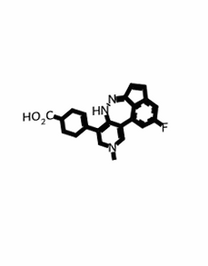 CN1C=C2C(=C(C3=CCC(C(=O)O)CC3)C1)NN=C1C=Cc3cc(F)cc2c31